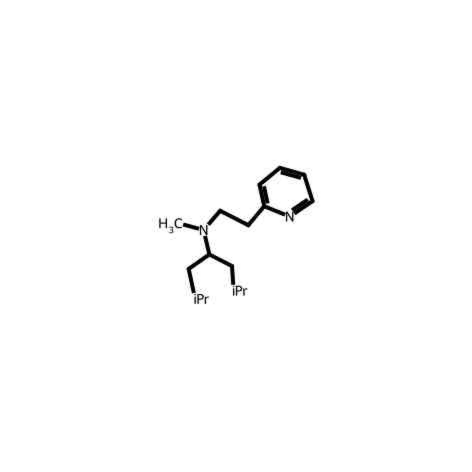 CC(C)CC(CC(C)C)N(C)CCc1ccccn1